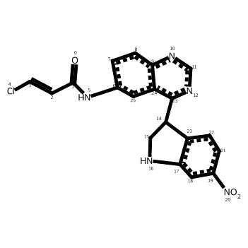 O=C(C=CCl)Nc1ccc2ncnc(C3CNc4cc([N+](=O)[O-])ccc43)c2c1